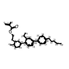 C=C(C)C(=O)OCCc1cc(-c2ccc(-c3ccc(CCCCC)cc3)cc2CC)ccc1C